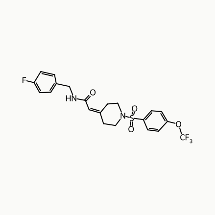 O=C(C=C1CCN(S(=O)(=O)c2ccc(OC(F)(F)F)cc2)CC1)NCc1ccc(F)cc1